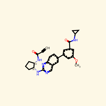 C#CC(=O)N[C@H]1CCC[C@H]1Nc1ncc2cc(-c3cc(OC)cc(C(=O)NC4CC4)c3)ccc2n1